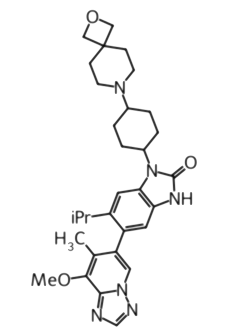 COc1c(C)c(-c2cc3[nH]c(=O)n(C4CCC(N5CCC6(CC5)COC6)CC4)c3cc2C(C)C)cn2ncnc12